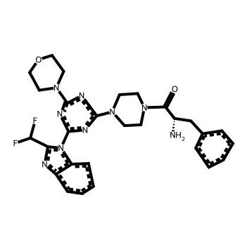 N[C@@H](Cc1ccccc1)C(=O)N1CCN(c2nc(N3CCOCC3)nc(-n3c(C(F)F)nc4ccccc43)n2)CC1